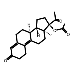 CC(=O)O[C@]1(C(C)=O)CC[C@H]2[C@@H]3CCC4=CC(=O)CCC4=C3CC[C@@]21C